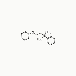 C[N+](C)(CCOc1ccccc1)c1ccccc1